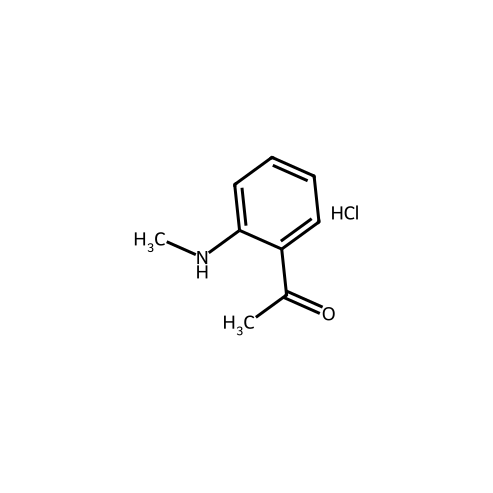 CNc1ccccc1C(C)=O.Cl